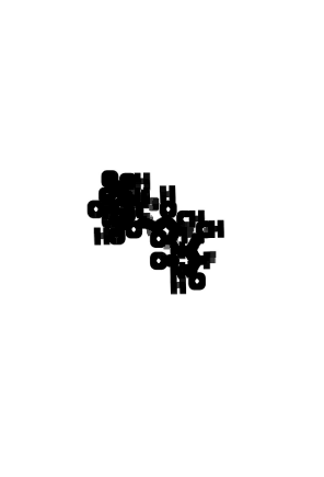 C#Cc1c(F)c(=O)[nH]c(=O)n1[C@@H]1O[C@H]([C@@H](C)OP(=O)(O)OP(=O)(O)OP(=O)(O)O)C(O)[C@@]1(C)F